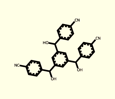 N#Cc1ccc(C(O)c2cc(C(O)c3ccc(C#N)cc3)cc(C(O)c3ccc(C#N)cc3)c2)cc1